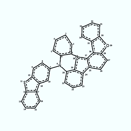 c1ccc2c(c1)N(c1ccc3sc4ccccc4c3c1)c1cccc3c4ccc5oc6ccccc6c5c4n-2c13